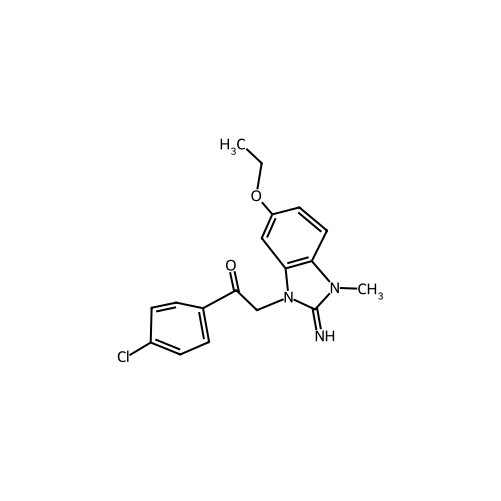 CCOc1ccc2c(c1)n(CC(=O)c1ccc(Cl)cc1)c(=N)n2C